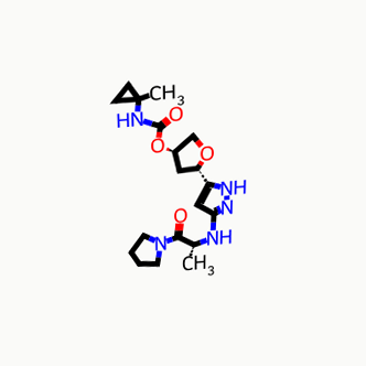 C[C@@H](Nc1cc([C@@H]2C[C@H](OC(=O)NC3(C)CC3)CO2)[nH]n1)C(=O)N1CCCC1